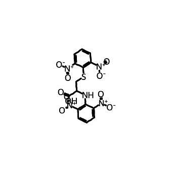 O=C(O)C(CSc1c([N+](=O)[O-])cccc1[N+](=O)[O-])Nc1c([N+](=O)[O-])cccc1[N+](=O)[O-]